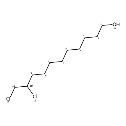 OCCCCCCCCCC(Cl)CCl